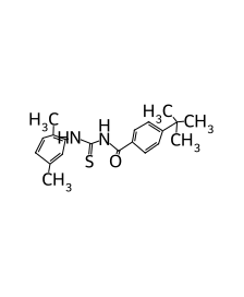 Cc1ccc(C)c(NC(=S)NC(=O)c2ccc(C(C)(C)C)cc2)c1